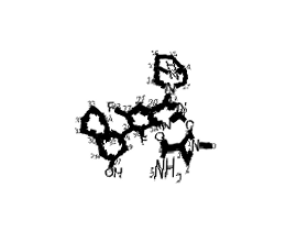 CN1CC(C(N)=O)C1Oc1nc(N2CC3CCC(C2)N3)c2cc(F)c(-c3cc(O)cc4ccccc34)c(F)c2n1